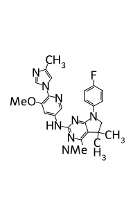 CNc1nc(Nc2cnc(-n3cnc(C)c3)c(OC)c2)nc2c1C(C)(C)CN2c1ccc(F)cc1